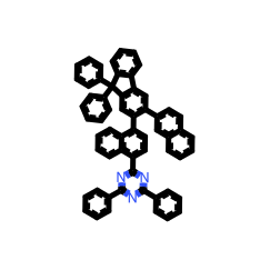 c1ccc(-c2nc(-c3ccccc3)nc(-c3ccc(-c4cc5c(cc4-c4ccc6ccccc6c4)-c4ccccc4C5(c4ccccc4)c4ccccc4)c4ccccc34)n2)cc1